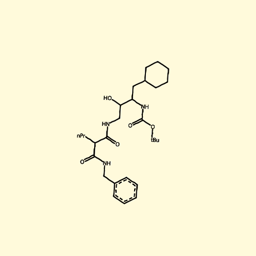 CCCC(C(=O)NCc1ccccc1)C(=O)NCC(O)C(CC1CCCCC1)NC(=O)OC(C)(C)C